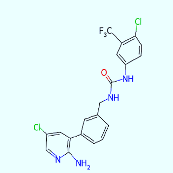 Nc1ncc(Cl)cc1-c1cccc(CNC(=O)Nc2ccc(Cl)c(C(F)(F)F)c2)c1